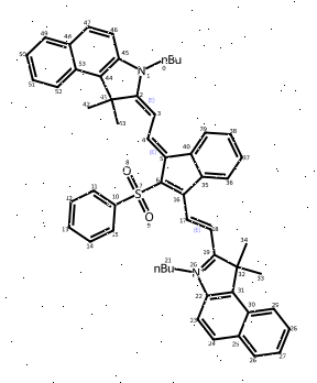 CCCCN1/C(=C/C=C2C(S(=O)(=O)c3ccccc3)=C(/C=C/C3=[N+](CCCC)c4ccc5ccccc5c4C3(C)C)c3ccccc3/2)C(C)(C)c2c1ccc1ccccc21